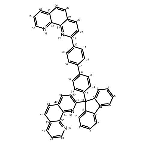 c1ccc2c(c1)-c1ccccc1C2(c1ccc(-c2ccc(-c3ccc4ccc5cccnc5c4n3)cc2)cc1)c1ccc2ccc3cccnc3c2n1